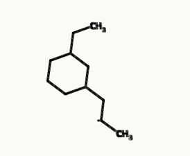 C[CH]CC1CCCC(CC)C1